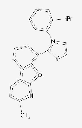 Cc1ccc2c(n1)oc1c(-c3nccn3-c3ccccc3C(C)C)cccc12